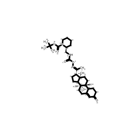 C/C(=N\OC(=O)NC[C@@H]1CCCCN1C(=O)OC(C)(C)C)[C@H]1CCC2[C@@H]3CCC4=CC(=O)CC[C@]4(C)[C@H]3CC[C@@]21C